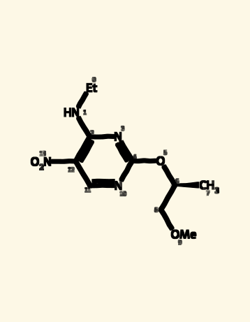 CCNc1nc(O[C@@H](C)COC)ncc1[N+](=O)[O-]